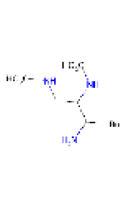 CC(C)(C)C(N)C(CNC(=O)O)NC(=O)O